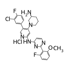 COc1cccc(F)c1-c1nccc(Nc2cc(N3CCC[C@H](N)C3)c(-c3ccc(F)c(Cl)c3)cn2)n1.Cl